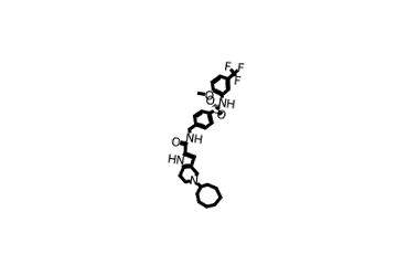 COc1ccc(C(F)(F)F)cc1NS(=O)(=O)c1ccc(CNC(=O)c2cc3c([nH]2)CCN(C2CCCCCCC2)C3)cc1